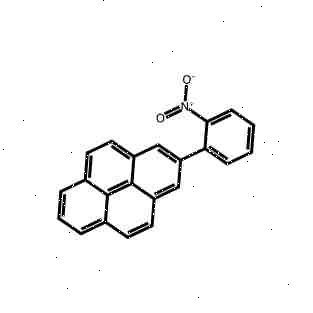 O=[N+]([O-])c1ccccc1-c1cc2ccc3cccc4ccc(c1)c2c34